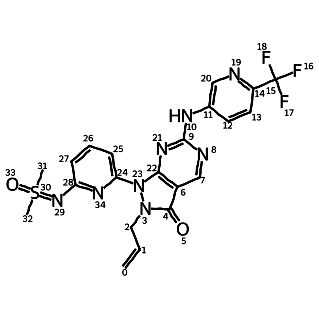 C=CCn1c(=O)c2cnc(Nc3ccc(C(F)(F)F)nc3)nc2n1-c1cccc(N=S(C)(C)=O)n1